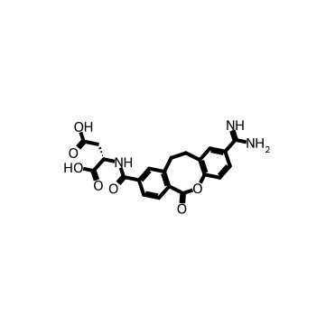 N=C(N)c1ccc2c(c1)CCc1cc(C(=O)N[C@@H](CC(=O)O)C(=O)O)ccc1C(=O)O2